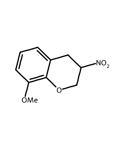 COc1cccc2c1OCC([N+](=O)[O-])C2